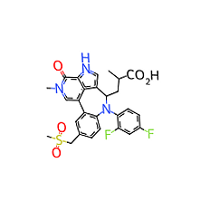 CC(CC1c2c[nH]c3c(=O)n(C)cc(c23)-c2cc(CS(C)(=O)=O)ccc2N1c1ccc(F)cc1F)C(=O)O